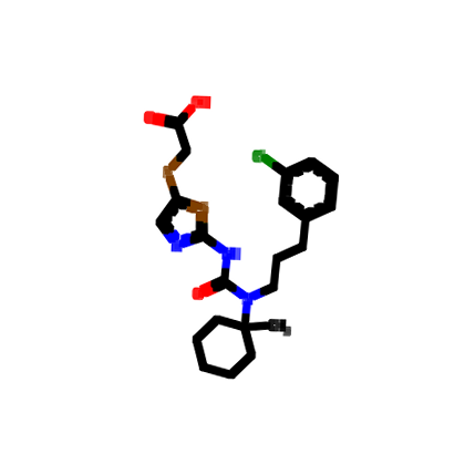 CC1(N(CCCc2cccc(Cl)c2)C(=O)Nc2ncc(SCC(=O)O)s2)CCCCC1